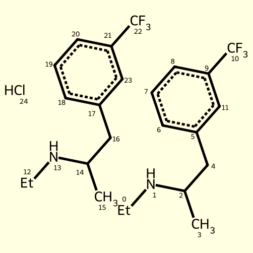 CCNC(C)Cc1cccc(C(F)(F)F)c1.CCNC(C)Cc1cccc(C(F)(F)F)c1.Cl